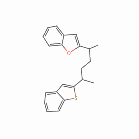 CC(CCC(C)c1cc2ccccc2s1)c1cc2ccccc2o1